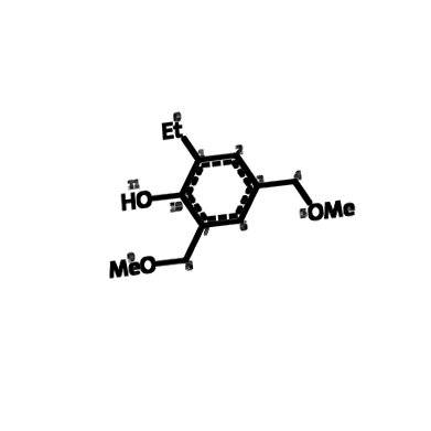 CCc1cc(COC)cc(COC)c1O